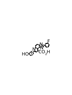 O=C(O)c1cc(N2CCC(O)C2)nc2ccc3nn(-c4cccc(F)c4)nc3c12